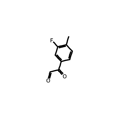 Cc1ccc(C(=O)C=O)cc1F